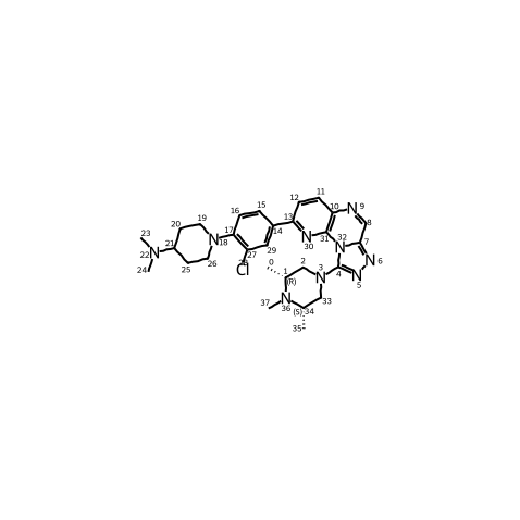 C[C@@H]1CN(c2nnc3cnc4ccc(-c5ccc(N6CCC(N(C)C)CC6)c(Cl)c5)nc4n23)C[C@H](C)N1C